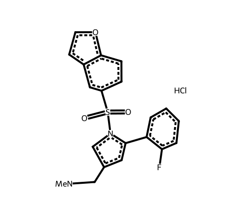 CNCc1cc(-c2ccccc2F)n(S(=O)(=O)c2ccc3occc3c2)c1.Cl